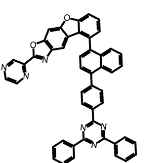 c1ccc(-c2nc(-c3ccccc3)nc(-c3ccc(-c4ccc(-c5cccc6oc7cc8oc(-c9cnccn9)nc8cc7c56)c5ccccc45)cc3)n2)cc1